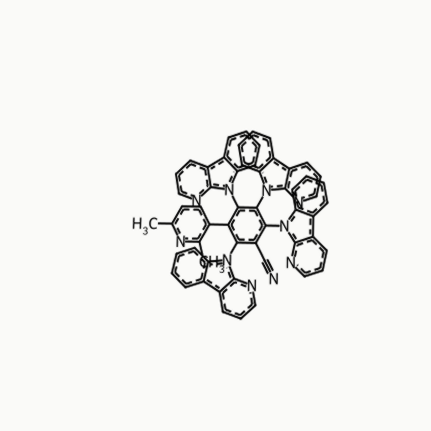 Cc1ccc(-c2c(-n3c4ccccc4c4cccnc43)c(C#N)c(-n3c4ccccc4c4cccnc43)c(-n3c4ccccc4c4cccnc43)c2-n2c3ccccc3c3cccnc32)c(C)n1